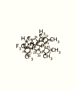 Cc1cc(C)cc(P(c2cc(C)cc(C)c2)C(C)C2CCCC2P(c2cc(C(F)(F)F)cc(C(F)(F)F)c2)c2cc(C(F)(F)F)cc(C)c2C2CCCC2)c1